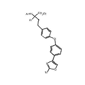 CCOC(=O)C(CC)(CCc1ccc(Oc2ccc(-c3coc(CC)n3)cc2)cc1)NC(C)=O